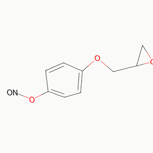 O=NOc1ccc(OCC2CO2)cc1